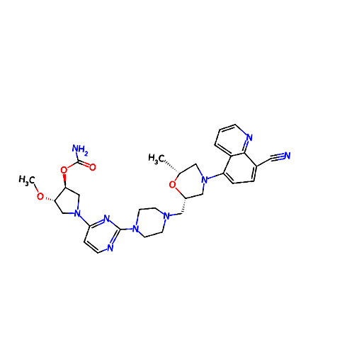 CO[C@H]1CN(c2ccnc(N3CCN(C[C@H]4CN(c5ccc(C#N)c6ncccc56)C[C@@H](C)O4)CC3)n2)C[C@@H]1OC(N)=O